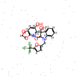 O=C1N(Cc2ccc(C(F)(F)F)o2)c2ccccc2C1(O)c1nc2c(cc1O)OCO2